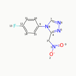 O=[N+]([O-])Cc1nncn1-c1ccc(F)cc1